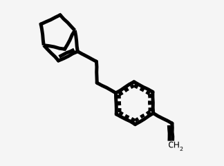 C=Cc1ccc(CCC2=CC3CCC2C3)cc1